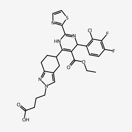 CCOC(=O)C1=C(C2CCc3nn(CCCC(=O)O)cc3C2)NC(c2nccs2)=NC1c1ccc(F)c(F)c1Cl